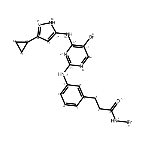 CC(C)NC(=O)CCc1cccc(Nc2ncc(Br)c(Nc3cc(C4CC4)n[nH]3)n2)c1